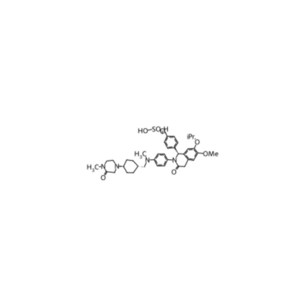 COc1cc2c(cc1OC(C)C)[C@H](c1ccc(Cl)cc1)N(c1ccc(N(C)C[C@H]3CC[C@H](N4CCN(C)C(=O)C4)CC3)cc1)C(=O)C2.O=S(=O)(O)O